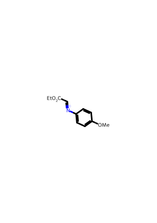 CCOC(=O)/C=N/c1ccc(OC)cc1